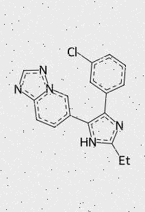 CCc1nc(-c2cccc(Cl)c2)c(-c2ccc3ncnn3c2)[nH]1